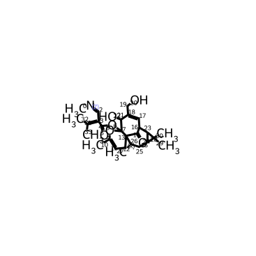 C/N=C\C(C(=O)OC12OC(C)=CCC13C(=O)C(C=C(CO)C2O)C1C(C[C@H]3C)C1(C)C)=C(C)C